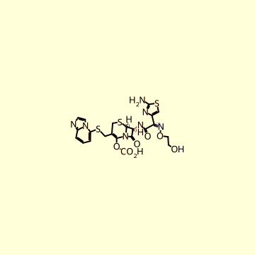 Nc1nc(/C(=N/OCCO)C(=O)N[C@@H]2C(=O)N3C(OC(=O)O)=C(CSc4cccc5nccn45)CS[C@@H]23)cs1